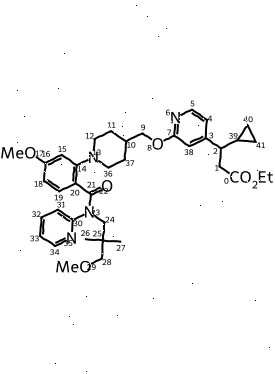 CCOC(=O)CC(c1ccnc(OCC2CCN(c3cc(OC)ccc3C(=O)N(CC(C)(C)COC)c3ccccn3)CC2)c1)C1CC1